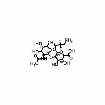 CC(=O)N[C@H]1C(O)[C@H](O)C(C)O[C@H]1OC1C(O)[C@H](O)C(C(=O)O)O[C@H]1OCC(F)(F)CN